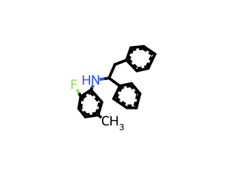 Cc1ccc(F)c(NC(Cc2ccccc2)c2ccccc2)c1